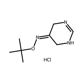 CC(C)(C)O/N=C1/CN=CNC1.Cl